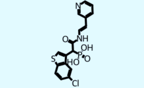 O=C(NC=Cc1cccnc1)C(c1csc2ccc(Cl)cc12)P(=O)(O)O